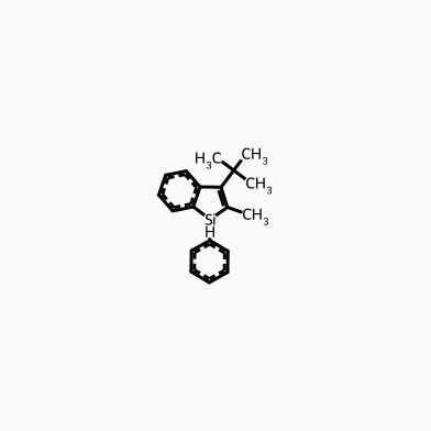 CC1=C(C(C)(C)C)c2ccccc2[SiH]1c1ccccc1